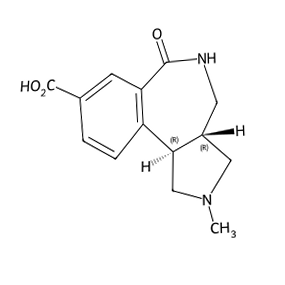 CN1C[C@H]2CNC(=O)c3cc(C(=O)O)ccc3[C@@H]2C1